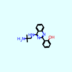 CC(C)(N)CNc1nc(-c2ccccc2O)nc2ccccc12